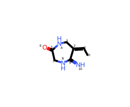 C/C=C1/CNC(=O)CNC1=N